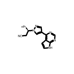 CCC[C@H](CC#N)n1cc(-c2ncnc3[nH]ccc23)cn1